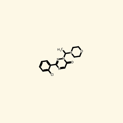 CC(N1CCOCC1)n1nc(-c2ccccc2Cl)ncc1=O